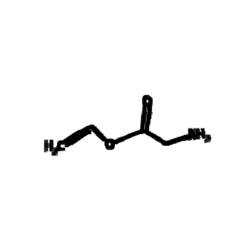 C=COC(=O)CN